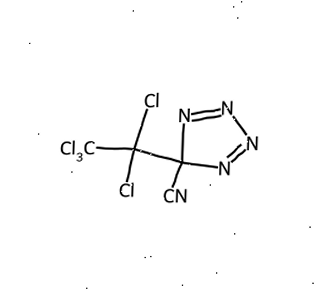 N#CC1(C(Cl)(Cl)C(Cl)(Cl)Cl)N=NN=N1